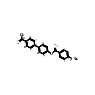 CCCCc1ccc(C(=O)Oc2ccc(-c3ccc(C([O])=O)cc3)cc2)cc1